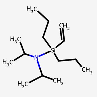 C=C[Si](CCC)(CCC)N(C(C)C)C(C)C